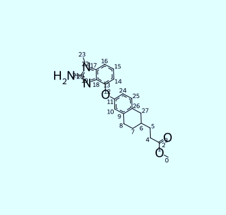 COC(=O)CCC1CCc2cc(Oc3cccc4c3nc(N)n4C)ccc2C1